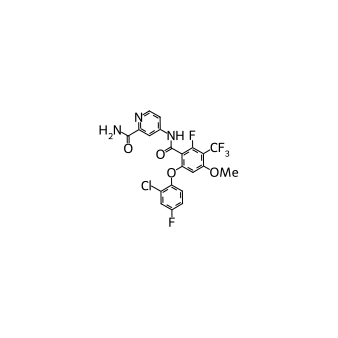 COc1cc(Oc2ccc(F)cc2Cl)c(C(=O)Nc2ccnc(C(N)=O)c2)c(F)c1C(F)(F)F